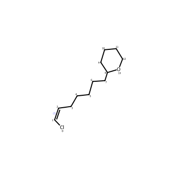 Cl/C=C\CCCCCC1CCCCO1